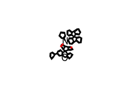 c1ccc(-c2ccc3c(c2)Oc2ccccc2C32c3ccccc3-c3c(N(c4ccccc4)c4ccc5c(c4)C4(c6ccccc6-c6ccccc64)c4ccccc4-5)cccc32)cc1